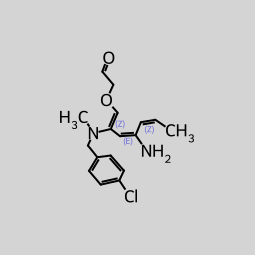 C\C=C/C(N)=C\C(=C\OCC=O)N(C)Cc1ccc(Cl)cc1